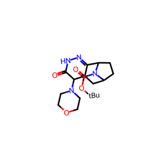 CC(C)(C)OC(=O)N1C2CCC1C1=NNC(=O)C(N3CCOCC3)C1C2